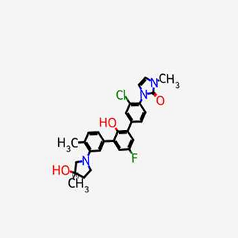 Cc1ccc(-c2cc(F)cc(-c3ccc(-n4ccn(C)c4=O)c(Cl)c3)c2O)cc1N1CC[C@@](C)(O)C1